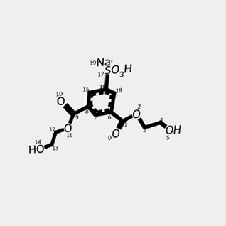 O=C(OCCO)c1cc(C(=O)OCCO)cc(S(=O)(=O)O)c1.[Na]